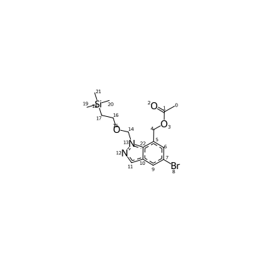 CC(=O)OCc1cc(Br)cc2cnn(COCC[Si](C)(C)C)c12